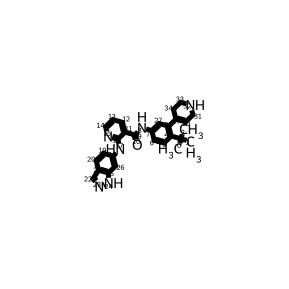 CC(C)(C)c1ccc(NC(=O)c2cccnc2Nc2ccc3cn[nH]c3c2)cc1C1=CCNCC1